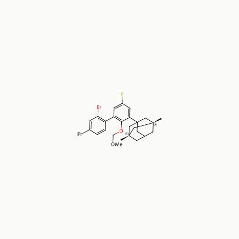 COCOc1c(-c2ccc(C(C)C)cc2Br)cc(F)cc1C12CC3C[C@@](C)(C1)C[C@](C)(C3)C2